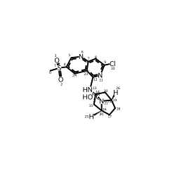 CS(=O)(=O)c1cnc2cc(Cl)nc(N[C@H]3C[C@H]4CC[C@@H](C3)N4C(=O)O)c2c1